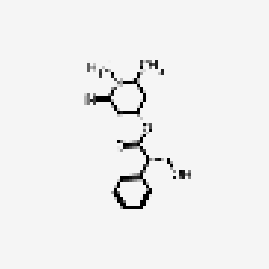 CC1C[C@H](OC(=O)[C@H](CO)c2ccccc2)CC(=N)N1C